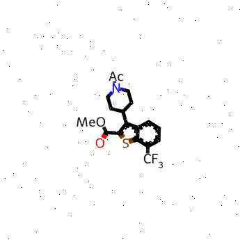 COC(=O)c1sc2c(C(F)(F)F)cccc2c1C1CCN(C(C)=O)CC1